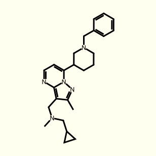 Cc1nn2c(C3CCCN(Cc4ccccc4)C3)ccnc2c1CN(C)CC1CC1